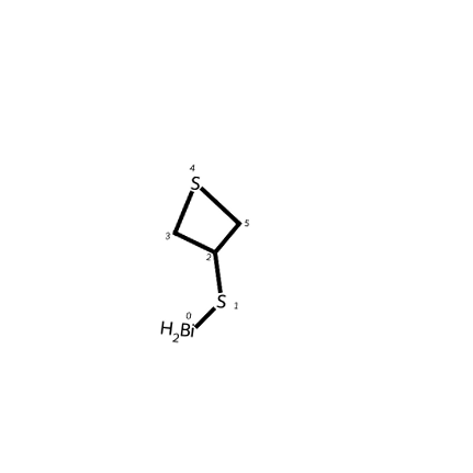 [BiH2][S]C1CSC1